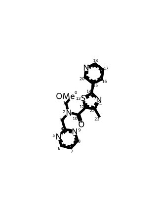 COCN(Cc1ncccn1)C(=O)c1sc(-c2cccnc2)nc1C